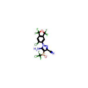 N#Cc1nn(-c2cc3c(cc2Cl)C(F)(F)OC3(F)F)c(N)c1[S+]([O-])C(F)(F)Cl